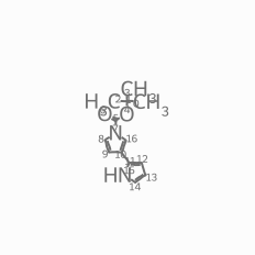 CC(C)(C)OC(=O)n1ccc(-c2ccc[nH]2)c1